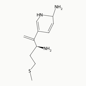 C=C(C1=CNC(N)C=C1)[C@@H](N)CCSC